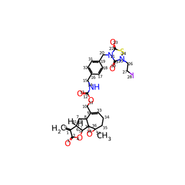 C=C1C(=O)O[C@H]2[C@H]1CC1C(COC(=O)NCc3ccc(Cn4c(=O)sn(CCI)c4=O)cc3)=CCC[C@@]3(C)O[C@@]123